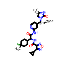 COC[C@H](c1ccnc(NC(=O)C(NC(=O)c2nonc2C2CC2)C2CCC(C)(F)CC2)c1)N1C[C@@H](C(F)(F)F)NC1=O